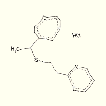 CC(SCCc1ccccn1)c1ccccc1.Cl